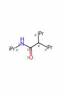 CC(C)NC(=O)C(C(C)C)C(C)C